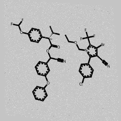 CC(C)[C@H](C(=O)OC(C#N)c1cccc(Oc2ccccc2)c1)c1ccc(OC(F)F)cc1.CCOCn1c(-c2ccc(Cl)cc2)c(C#N)c(Br)c1C(F)(F)F